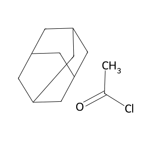 C1C2CC3CC1CC(C2)C3.CC(=O)Cl